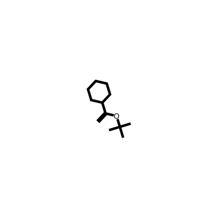 C=C(OC(C)(C)C)C1CCCCC1